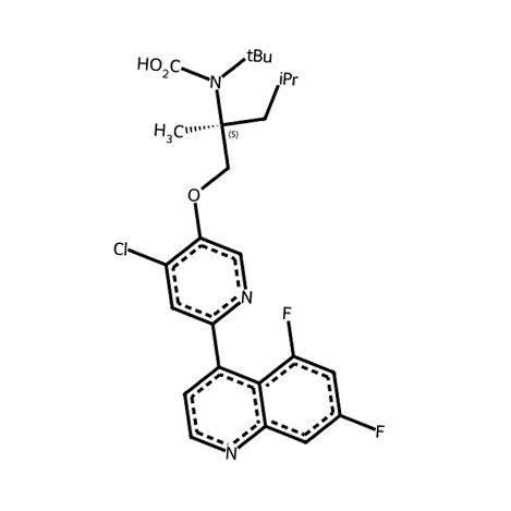 CC(C)C[C@@](C)(COc1cnc(-c2ccnc3cc(F)cc(F)c23)cc1Cl)N(C(=O)O)C(C)(C)C